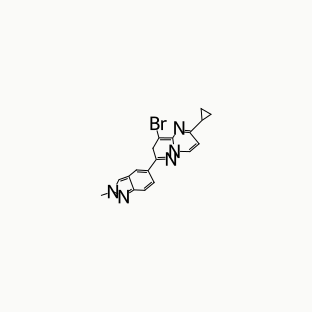 Cn1cc2cc(C3=NN4C=CC(C5CC5)=NC4=C(Br)C3)ccc2n1